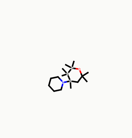 CC1(C)C[Si](C)(N2CCCCC2)[Si](C)(C)[Si](C)(C)O1